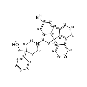 OCC1(c2ccccc2)CCN(CCC(c2ccccc2)(c2ccccc2)c2ccc(Br)cc2)CC1